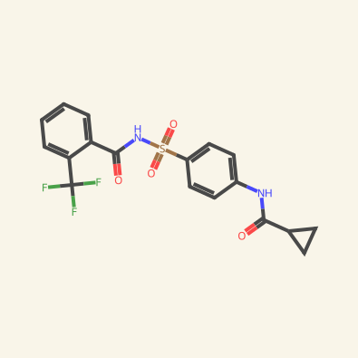 O=C(NS(=O)(=O)c1ccc(NC(=O)C2CC2)cc1)c1ccccc1C(F)(F)F